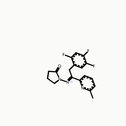 Cc1cccc(/C(Cc2cc(F)c(F)cc2F)=N/N2CCCC2=O)n1